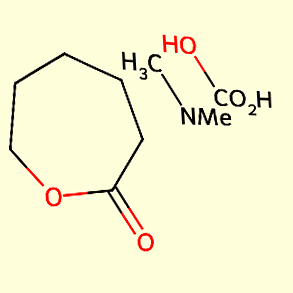 CNC.O=C(O)O.O=C1CCCCCO1